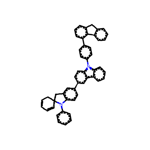 C1=CCC2(C=C1)Cc1cc(-c3ccc4c(c3)c3ccccc3n4-c3ccc(-c4cccc5c4-c4ccccc4C5)cc3)ccc1N2c1ccccc1